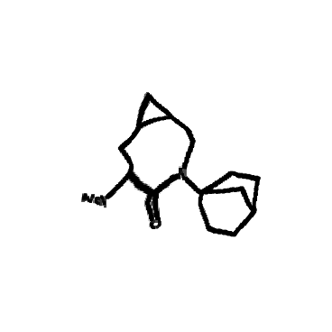 CNC1CC2CC2CN(C23CCC(CC2)C3)C1=O